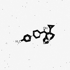 Cc1ccc([C@H]2CC[C@H]([C@@H](O)c3c(C4CC4)ccn4cncc34)CC2)cc1